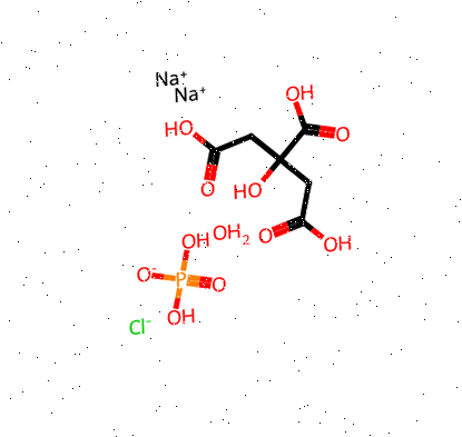 O.O=C(O)CC(O)(CC(=O)O)C(=O)O.O=P([O-])(O)O.[Cl-].[Na+].[Na+]